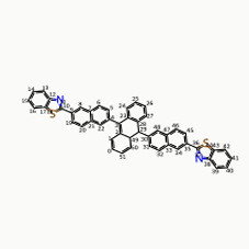 C1=CC2=C(c3ccc4cc(-c5nc6ccccc6s5)ccc4c3)c3ccccc3C(c3ccc4cc(-c5nc6ccccc6s5)ccc4c3)C2C=C1